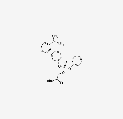 CCCCC(CC)COP(=O)(Oc1ccccc1)Oc1ccccc1.CN(C)c1ccncc1